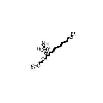 CCOCCCCCCC(CCCOCCOCC)OP(=O)(O)O.[AlH3]